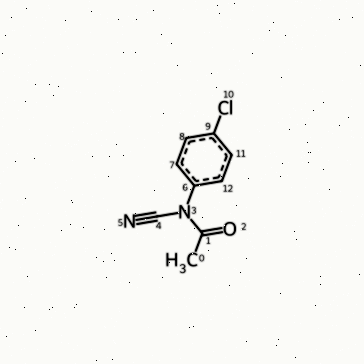 CC(=O)N(C#N)c1ccc(Cl)cc1